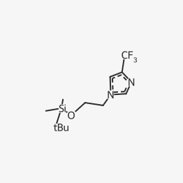 CC(C)(C)[Si](C)(C)OCCn1cnc(C(F)(F)F)c1